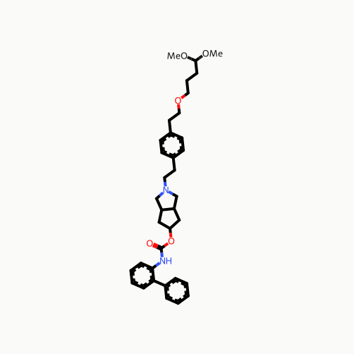 COC(CCCOCCc1ccc(CCN2CC3CC(OC(=O)Nc4ccccc4-c4ccccc4)CC3C2)cc1)OC